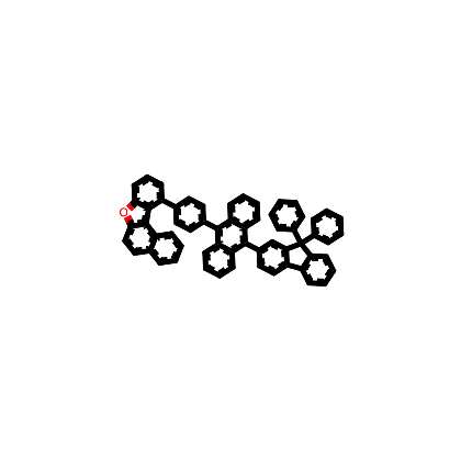 c1ccc(C2(c3ccccc3)c3ccccc3-c3ccc(-c4c5ccccc5c(-c5ccc(-c6cccc7oc8ccc9ccccc9c8c67)cc5)c5ccccc45)cc32)cc1